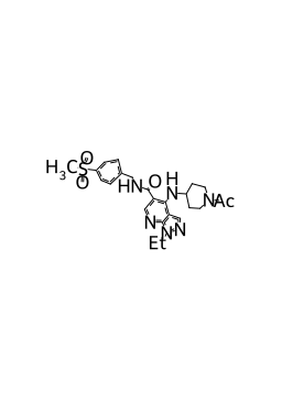 CCn1ncc2c(NC3CCN(C(C)=O)CC3)c(C(=O)NCc3ccc(S(C)(=O)=O)cc3)cnc21